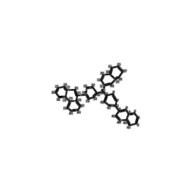 c1ccc2cc(-c3ccc(N(c4ccc(-c5cc6ccccc6c6ccccc56)cc4)c4ccc5ccccc5c4)cc3)ccc2c1